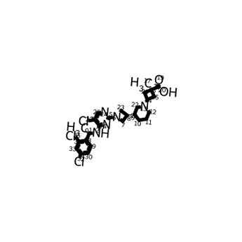 CC(Nc1nc(N2CC([C@H]3CCCN(C4CC(C)(C(=O)O)C4)C3)C2)ncc1Cl)c1ccc(Cl)cc1Cl